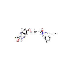 O=C(O)CN(Cc1ccccc1)C(=O)CCCCCOc1ccc2c(c1)CN1CC(=O)NC1=N2